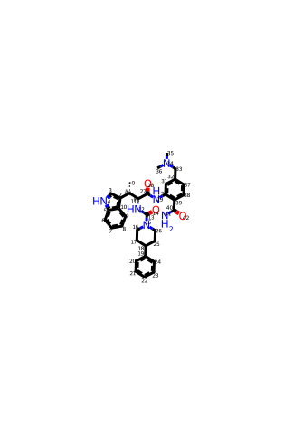 C[C@@H](c1c[nH]c2ccccc12)[C@@H](NC(=O)N1CCC(c2ccccc2)CC1)C(=O)Nc1cc(CN(C)C)ccc1C(N)=O